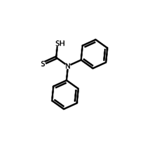 S=C(S)N(c1ccccc1)c1ccccc1